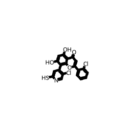 O=c1cc(-c2ccccc2Cl)oc2c(-c3cc(S)ncc3Cl)c(O)cc(O)c12